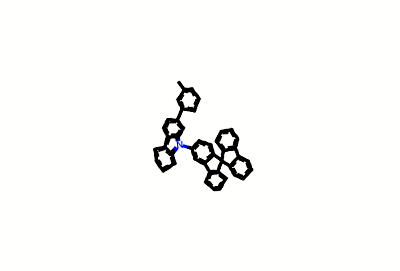 Cc1cccc(-c2ccc3c4ccccc4n(-c4ccc5c(c4)-c4ccccc4C54c5ccccc5-c5ccccc54)c3c2)c1